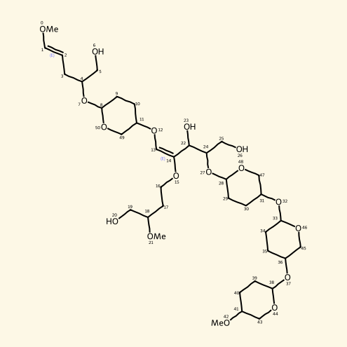 CO/C=C/CC(CO)OC1CCC(O/C=C(/OCCC(CO)OC)C(O)C(CO)OC2CCC(OC3CCC(OC4CCC(OC)CO4)CO3)CO2)CO1